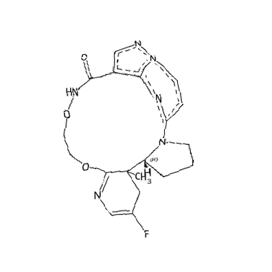 CC12CC(F)=CN=C1OCCONC(=O)c1cnn3ccc(nc13)N1CCC[C@@H]12